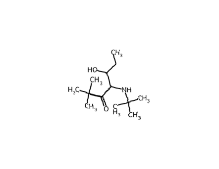 CCC(O)C(NC(C)(C)C)C(=O)C(C)(C)C